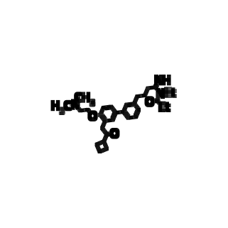 CCC(=O)N(CC)C(=N)CCCc1cccc(-c2ccc(OCCN(C)C)c(CC(=O)C3CCC3)c2)c1